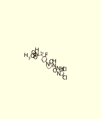 CS(=O)(=O)NCC1(c2ccc(N3CCC[C@@H](NC(=O)Nc4ncc(Cl)cc4Cl)C3=O)cc2F)CC1